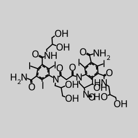 NC(=O)c1c(I)c(C(=O)NCC(O)CO)c(I)c(N(CC(O)CO)C(=O)CC(=O)N(CC(CO)N=O)c2c(I)c(C(N)=O)c(I)c(C(=O)NCC(O)CO)c2I)c1I